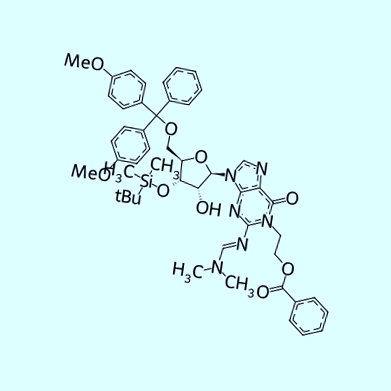 COc1ccc(C(OC[C@H]2O[C@@H](n3cnc4c(=O)n(CCOC(=O)c5ccccc5)c(N=CN(C)C)nc43)[C@H](O)[C@@H]2O[Si](C)(C)C(C)(C)C)(c2ccccc2)c2ccc(OC)cc2)cc1